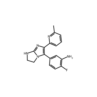 Cc1cccc(-c2nc3n(c2-c2ccc(F)c(N)c2)CCN3)n1